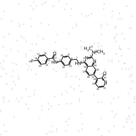 CN(C)c1nc(NCc2ccc(NC(=O)c3ccc(F)cc3)cc2)c2ccc(-c3cccnc3Cl)cc2n1